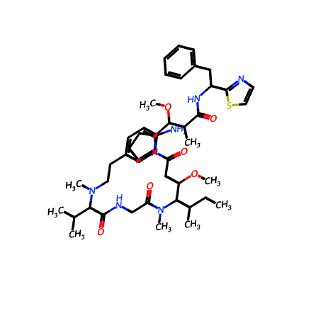 CCC(C)C(C(CC(=O)N1CCCC1C(OC)C(C)C(=O)NC(Cc1ccccc1)c1nccs1)OC)N(C)C(=O)CNC(=O)C(C(C)C)N(C)CCc1ccc(N)cc1